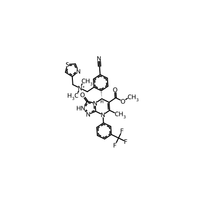 COC(=O)C1=C(C)N(c2cccc(C(F)(F)F)c2)c2n[nH]c(=O)n2[C@@H]1c1ccc(C#N)cc1C[N+](C)(C)Cc1cscn1